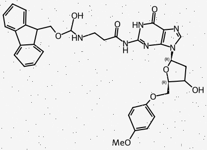 COc1ccc(OC[C@H]2O[C@@H](n3cnc4c(=O)[nH]c(NC(=O)CCNC(O)OCC5c6ccccc6-c6ccccc65)nc43)CC2O)cc1